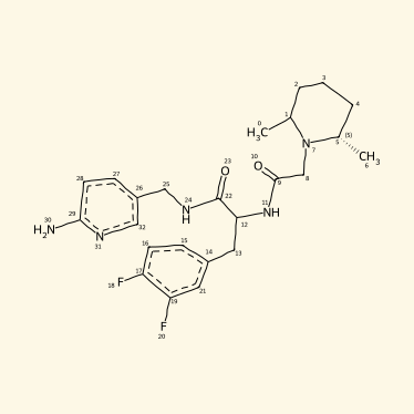 CC1CCC[C@H](C)N1CC(=O)NC(Cc1ccc(F)c(F)c1)C(=O)NCc1ccc(N)nc1